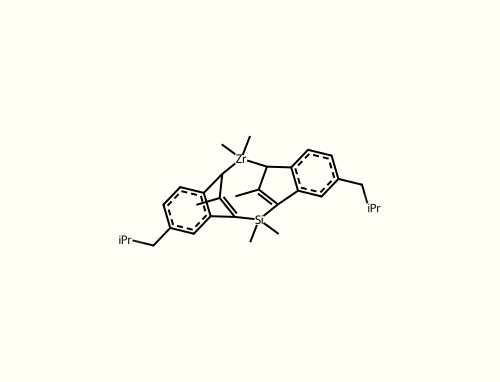 CC1=C2c3cc(CC(C)C)ccc3[CH]1[Zr]([CH3])([CH3])[CH]1C(C)=C(c3cc(CC(C)C)ccc31)[Si]2(C)C